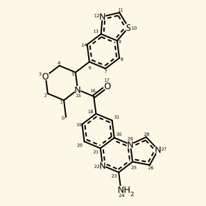 CC1COCC(c2ccc3scnc3c2)N1C(=O)c1ccc2nc(N)c3cncn3c2c1